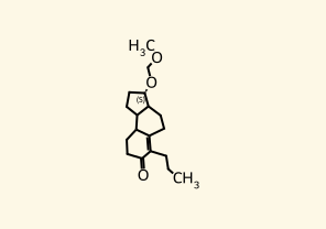 CCCC1=C2CCC3C(CC[C@@H]3OCOC)C2CCC1=O